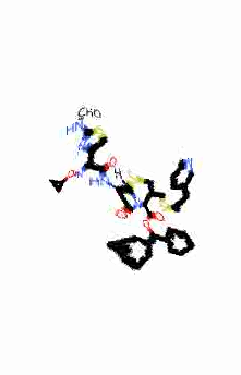 O=CNc1nc(C(=NOC2CC2)C(=O)N[C@@H]2C(=O)N3C(C(=O)OC(c4ccccc4)c4ccccc4)=C(CS/C=C\c4cccnc4)CS[C@@H]23)cs1